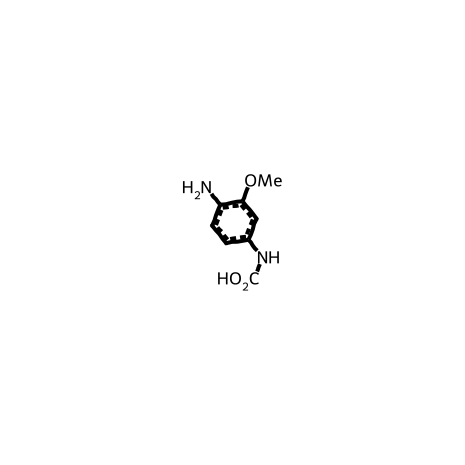 COc1cc(NC(=O)O)ccc1N